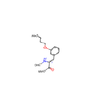 COCCCOc1cccc(/C=C(\NC=O)C(=O)OC)c1